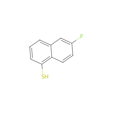 Fc1ccc2c(S)cccc2c1